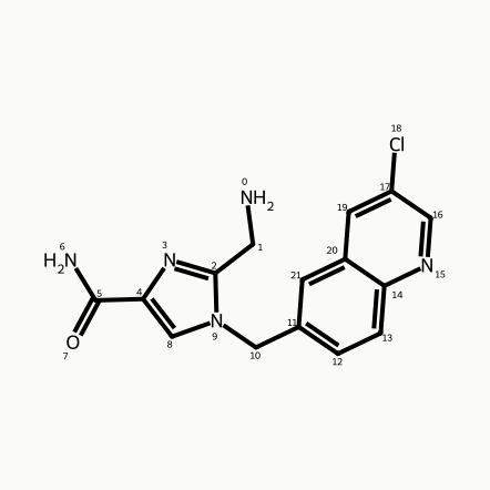 NCc1nc(C(N)=O)cn1Cc1ccc2ncc(Cl)cc2c1